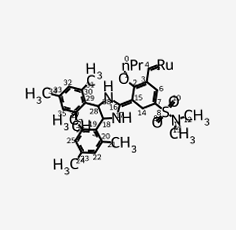 CCCOC1=C([CH]=[Ru])C=C(S(=O)(=O)N(C)C)CC1=C1NC(c2c(C)cc(C)cc2C)C(c2c(C)cc(C)cc2C)N1